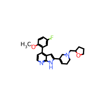 COc1ccc(F)cc1-c1ccnc2[nH]c(C3=CCCN(CC4CCCO4)C3)cc12